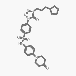 O=C1CCN(c2ccc(NS(=O)(=O)c3ccc(-n4nnn(CCCC5CCCC5)c4=O)cc3)cc2)CC1